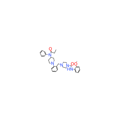 CCC(=O)N(c1ccccc1)C1CCN(c2ccccc2CN2CCN(C(=O)Nc3ccccc3OC)CC2)CC1